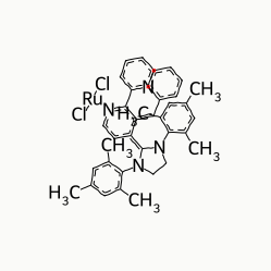 Cc1cc(C)c(N2CCN(c3c(C)cc(C)cc3C)C2=c2ccnc(-c3ccccn3)c2=Cc2ccccc2)c(C)c1.[Cl][Ru][Cl]